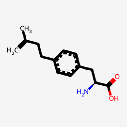 C=C(C)CCc1ccc(C[C@H](N)C(=O)O)cc1